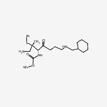 CCCOC(=O)N[C@@H](C(=O)CCCNCC1CCCCC1)[C@](C)(CN)SC(C)C